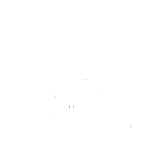 Oc1cccc(-c2ccc([C@@H]3[C@H](CCC(O)c4ccc(F)cc4)NC(=S)N3c3ccccc3)c(O)c2)c1